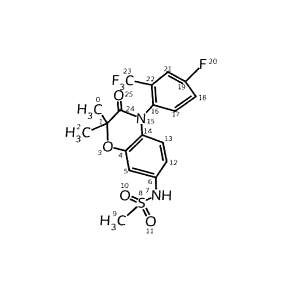 CC1(C)Oc2cc(NS(C)(=O)=O)ccc2N(c2ccc(F)cc2C(F)(F)F)C1=O